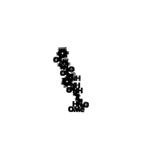 COC(=O)NCCCCNC(=O)Nc1cccc2c(C(=O)C(=O)N3CCN(C(=O)c4ccccc4)CC3)c[nH]c12